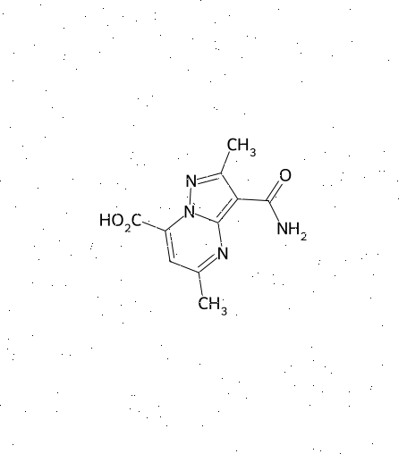 Cc1cc(C(=O)O)n2nc(C)c(C(N)=O)c2n1